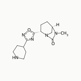 CN1C(=O)N2C[C@H]1CC[C@H]2c1nc(C2CCNCC2)no1